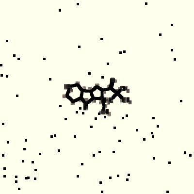 CCN1C(C(=O)C(C)(C)C)CC2C3CNCCC3NC21